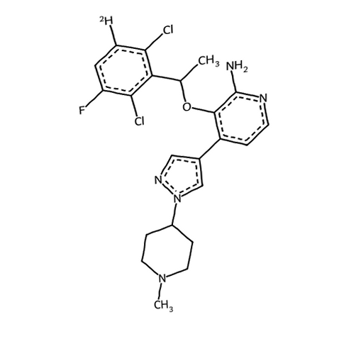 [2H]c1cc(F)c(Cl)c(C(C)Oc2c(-c3cnn(C4CCN(C)CC4)c3)ccnc2N)c1Cl